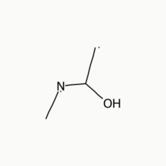 [CH2]C(O)[N]C